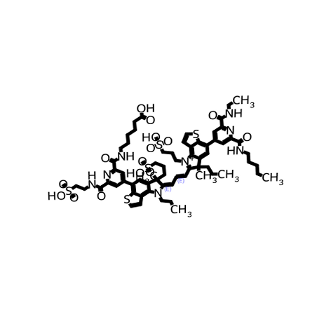 CCCCCNC(=O)c1cc(-c2cc3c(c4ccsc24)[N+](CCCS(=O)(=O)O)=C(/C=C/C=C2/N(CCC)c4c(cc(-c5cc(C(=O)NCCCCCC(=O)O)nc(C(=O)NCCS(=O)(=O)O)c5)c5sccc45)C2(C)CCCS(=O)(=O)O)C3(C)CCC)cc(C(=O)NCC)n1